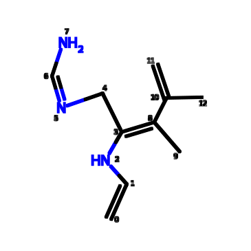 C=CN/C(C/N=C\N)=C(\C)C(=C)C